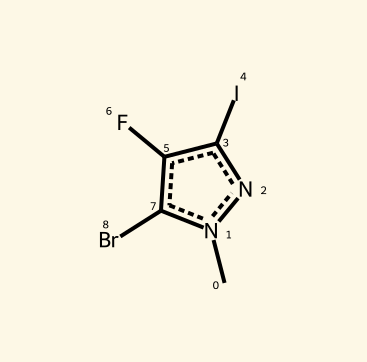 Cn1nc(I)c(F)c1Br